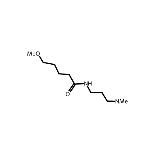 CNCCCNC(=O)CCCCOC